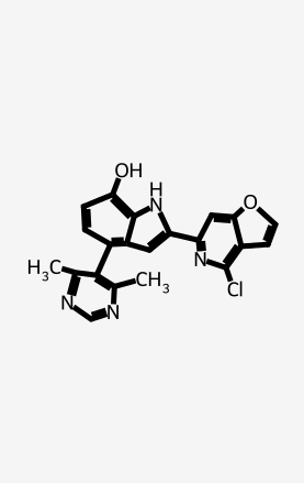 Cc1ncnc(C)c1-c1ccc(O)c2[nH]c(-c3cc4occc4c(Cl)n3)cc12